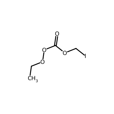 CCOOC(=O)OCI